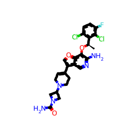 C[C@@H](Oc1c(N)ncc2c(C3=CCN(C4CN(C(N)=O)C4)CC3)coc12)c1c(Cl)ccc(F)c1Cl